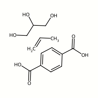 C=CC.O=C(O)c1ccc(C(=O)O)cc1.OCC(O)CO